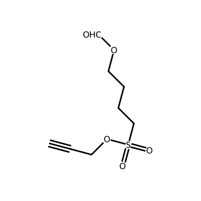 C#CCOS(=O)(=O)CCCCOC=O